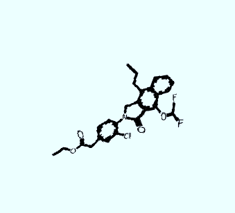 CCCc1c2c(c(OC(F)F)c3ccccc13)C(=O)N(c1ccc(CC(=O)OCC)cc1Cl)C2